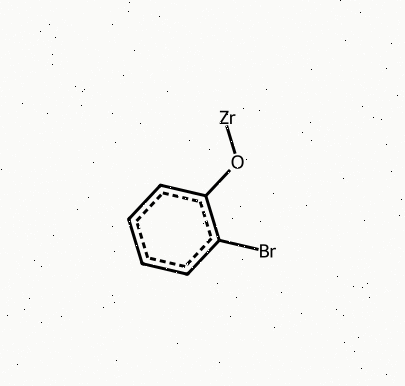 Brc1ccccc1[O][Zr]